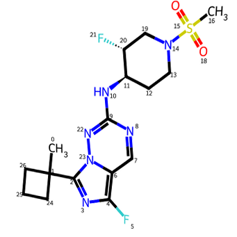 CC1(c2nc(F)c3cnc(N[C@@H]4CCN(S(C)(=O)=O)C[C@H]4F)nn23)CCC1